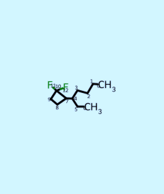 CCCCC(CC)C1CCC1(F)F